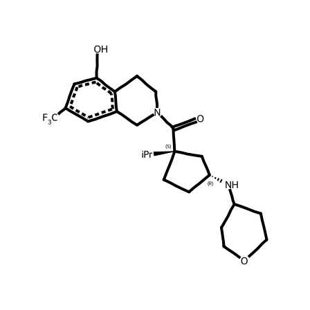 CC(C)[C@]1(C(=O)N2CCc3c(O)cc(C(F)(F)F)cc3C2)CC[C@@H](NC2CCOCC2)C1